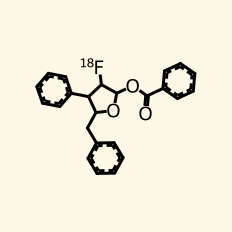 O=C(OC1OC(Cc2ccccc2)C(c2ccccc2)C1[18F])c1ccccc1